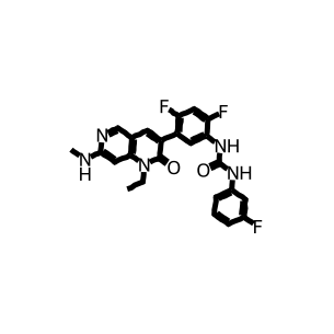 CCn1c(=O)c(-c2cc(NC(=O)Nc3cccc(F)c3)c(F)cc2F)cc2cnc(NC)cc21